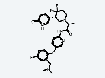 C[C@@H](C(=O)Nc1ccc(Oc2ccc(F)cc2CN(C)C)cn1)N1CCC(F)(F)[C@@H](c2ccc(=O)[nH]c2)C1